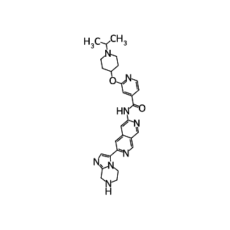 CC(C)N1CCC(Oc2cc(C(=O)Nc3cc4cc(-c5cnc6n5CCNC6)ncc4cn3)ccn2)CC1